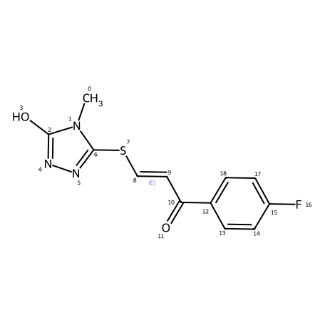 Cn1c(O)nnc1S/C=C/C(=O)c1ccc(F)cc1